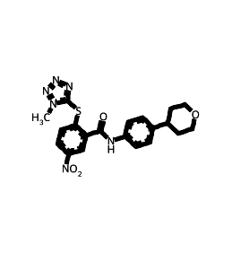 Cn1nnnc1Sc1ccc([N+](=O)[O-])cc1C(=O)Nc1ccc(C2CCOCC2)cc1